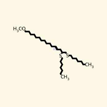 CCCCCCCSCC(C/C=C/CCCCCCCCCCCOC)SCCCCCCC